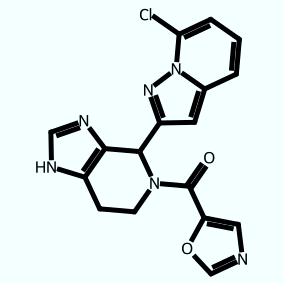 O=C(c1cnco1)N1CCc2[nH]cnc2C1c1cc2cccc(Cl)n2n1